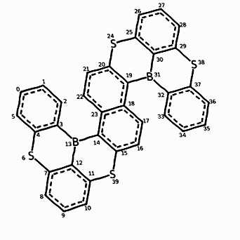 c1ccc2c(c1)Sc1cccc3c1B2c1c(ccc2c4c(ccc12)Sc1cccc2c1B4c1ccccc1S2)S3